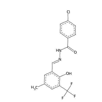 Cc1cc(/C=N/NC(=O)c2ccc(Cl)cc2)c(O)c(C(F)(F)F)c1